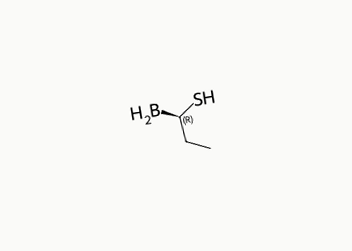 B[C@@H](S)CC